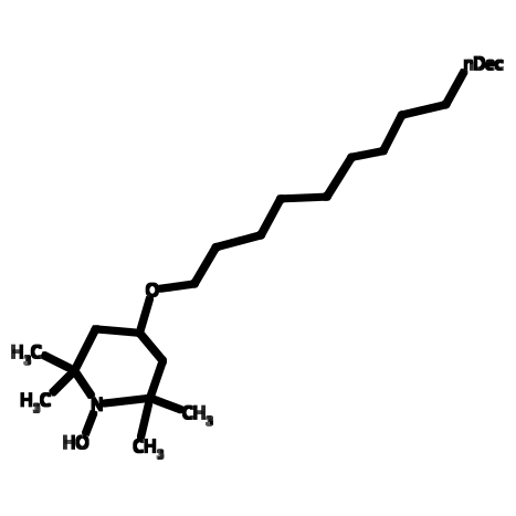 CCCCCCCCCCCCCCCCCCCOC1CC(C)(C)N(O)C(C)(C)C1